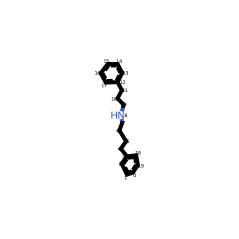 c1ccc(CCCCNCCCc2ccccc2)cc1